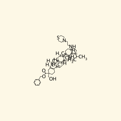 C=C(C)[C@@H]1CC[C@]2(NCCN3CCSCC3)CC[C@]3(C)[C@H](CC[C@@H]4[C@@]5(C)CC=C(C6=CCC(CO)(C(=O)OCc7ccccc7)CC6)C(C)(C)[C@@H]5CC[C@]43C)[C@@H]12